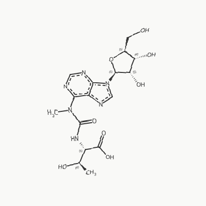 C[C@@H](O)[C@H](NC(=O)N(C)c1ncnc2c1ncn2[C@H]1O[C@@H](CO)[C@H](O)[C@@H]1O)C(=O)O